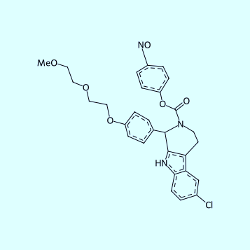 COCCOCCOc1ccc(C2c3[nH]c4ccc(Cl)cc4c3CCN2C(=O)Oc2ccc(N=O)cc2)cc1